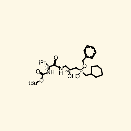 CC(C)[C@H](NC(=O)OC(C)(C)C)C(=O)NC[C@H](O)CP(=O)(CC1CCCCC1)OCc1ccccc1